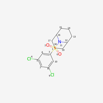 O=S(=O)(c1cc(Cl)cc(Cl)c1)N1C2CCCC1CCC2